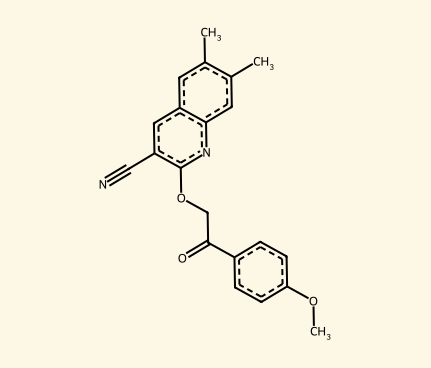 COc1ccc(C(=O)COc2nc3cc(C)c(C)cc3cc2C#N)cc1